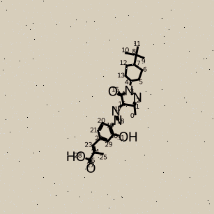 CC1=NN(C2CCC(C(C)(C)C)CC2)C(=O)C1/N=N/c1ccc(/C=C(\C)C(=O)O)cc1O